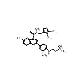 Cc1nc(-c2cc(C(=O)N(C)Cc3cnc(C(F)(F)F)n3C)c3cc(O)ccc3n2)ccc1NCCN(C)C